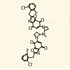 CN(C1CCN1C1=CC(=O)c2nc(Cc3c(F)cccc3Cl)oc2C1=O)C1CCN1C1=CC(=O)c2nc(Cc3c(F)cccc3Cl)oc2C1=O